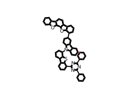 c1ccc(-c2nc(-c3ccccc3)nc(-c3cccc4c3sc3c(-n5c6ccccc6c6cc(-c7cccc8c7oc7c8ccc8c9ccccc9oc87)ccc65)cccc34)n2)cc1